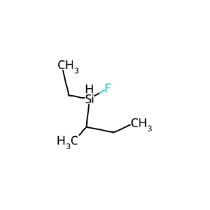 CCC(C)[SiH](F)CC